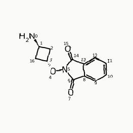 N[C@H]1C[C@H](ON2C(=O)c3ccccc3C2=O)C1